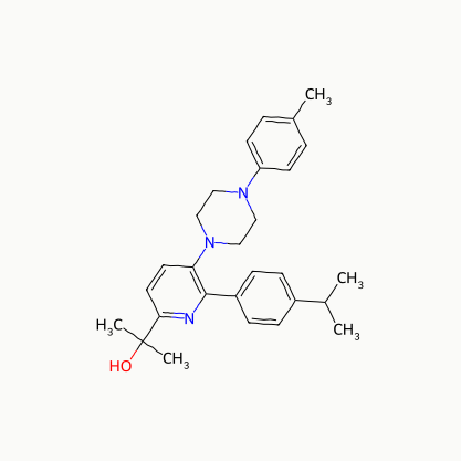 Cc1ccc(N2CCN(c3ccc(C(C)(C)O)nc3-c3ccc(C(C)C)cc3)CC2)cc1